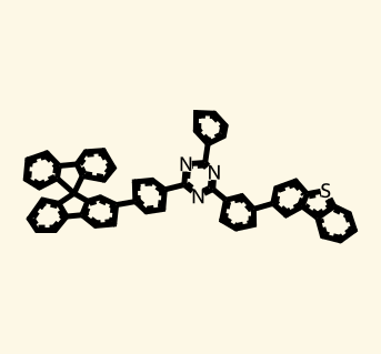 c1ccc(-c2nc(-c3ccc(-c4ccc5c(c4)C4(c6ccccc6-c6ccccc64)c4ccccc4-5)cc3)nc(-c3cccc(-c4ccc5sc6ccccc6c5c4)c3)n2)cc1